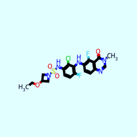 CCOC1CN(S(=O)(=O)Nc2ccc(F)c(Nc3ccc4ncn(C)c(=O)c4c3F)c2Cl)C1